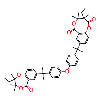 CCC1(C)Oc2ccc(C(C)(C)c3ccc(Oc4ccc(C(C)(C)c5ccc6c(c5)C(=O)OC(C)(C)C(C)(CC)C(=O)O6)cc4)cc3)cc2C(=O)OC1(C)C